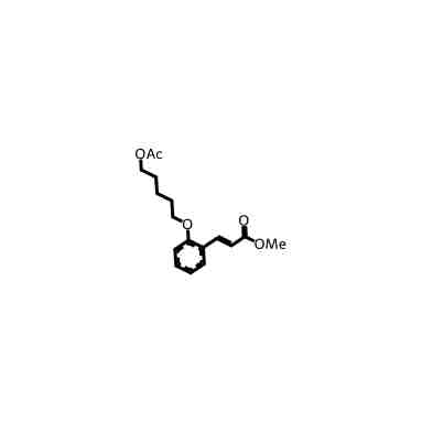 COC(=O)/C=C/c1ccccc1OCCCCCOC(C)=O